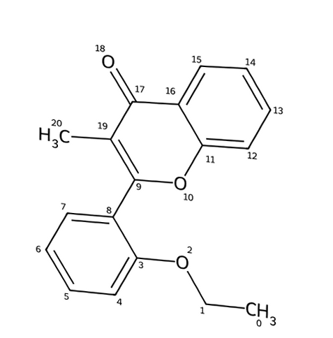 CCOc1ccccc1-c1oc2ccccc2c(=O)c1C